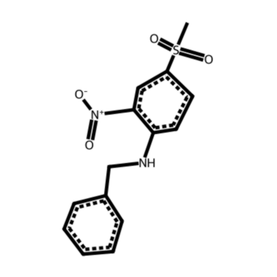 CS(=O)(=O)c1ccc(NCc2ccccc2)c([N+](=O)[O-])c1